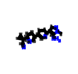 Cn1ncc(-c2ccc(-c3ccc(C4(C#N)CC4)nc3)cn2)c1N